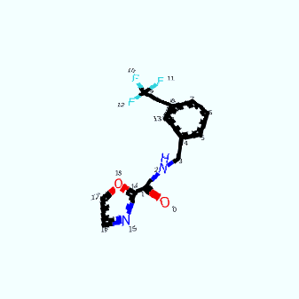 O=C(NCc1cccc(C(F)(F)F)c1)c1ncco1